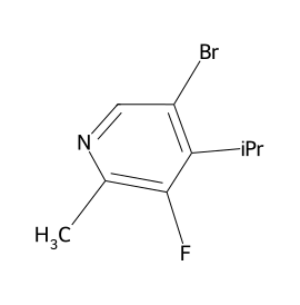 Cc1ncc(Br)c(C(C)C)c1F